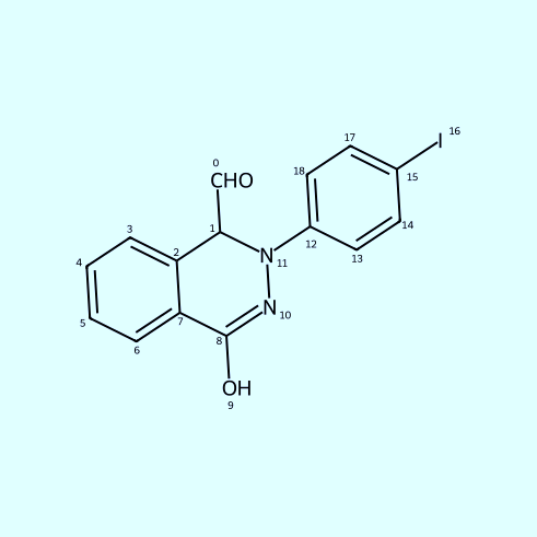 O=CC1c2ccccc2C(O)=NN1c1ccc(I)cc1